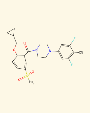 CS(=O)(=O)c1ccc(OCC2CC2)c(C(=O)N2CCN(c3cc(F)c(C#N)c(F)c3)CC2)c1